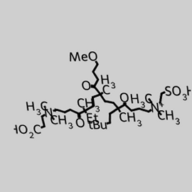 CCC(C)(CCC(C)(CCC(C)(CCC(C)(C)C)C(=O)CCC[N+](C)(C)CCS(=O)(=O)O)C(=O)CCCOC)C(=O)CCC[N+](C)(C)CCC(=O)O